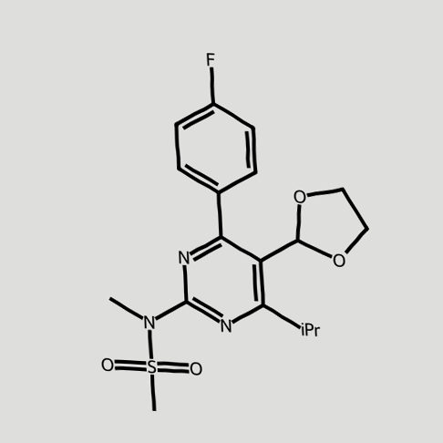 CC(C)c1nc(N(C)S(C)(=O)=O)nc(-c2ccc(F)cc2)c1C1OCCO1